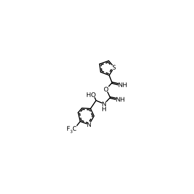 N=C(NC(O)c1ccc(C(F)(F)F)nc1)OC(=N)c1cccs1